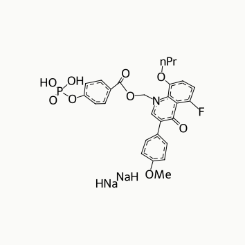 CCCOc1ccc(F)c2c(=O)c(-c3ccc(OC)cc3)cn(COC(=O)c3ccc(OP(=O)(O)O)cc3)c12.[NaH].[NaH]